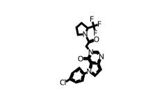 O=C(Cn1cnc2ccn(-c3ccc(Cl)cc3)c2c1=O)N1CCCC1C(F)(F)F